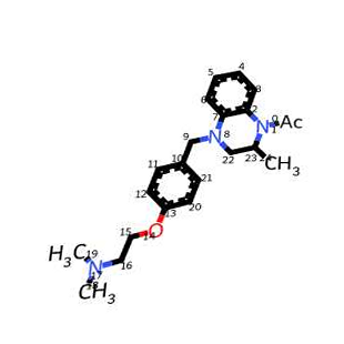 CC(=O)N1c2ccccc2N(Cc2ccc(OCCN(C)C)cc2)CC1C